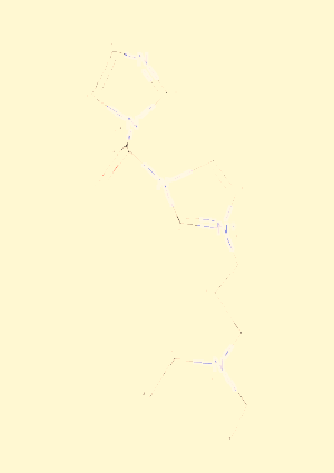 CCN(CC)CCC[n+]1ccn(C(=O)n2ccnc2)c1